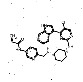 C=CC(=O)Nc1ccc(CN[C@H]2CCC[C@@H](Nc3ncc(Cl)c(-c4c[nH]c5ccccc45)n3)C2)nc1